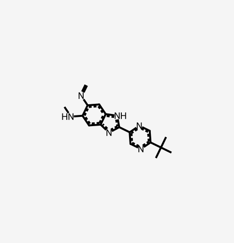 C=Nc1cc2[nH]c(-c3cnc(C(C)(C)C)cn3)nc2cc1NC